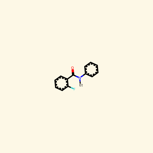 CCN(C(=O)c1ccccc1F)c1ccccc1